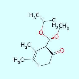 CO[C@H](OC(C)C)[C@H]1C(=O)CCC(C)=C1C